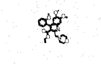 CCOC(=O)c1c(CN2CCOCC2)nc2cc(OC)c(OC)cc2c1-c1ccccc1OC